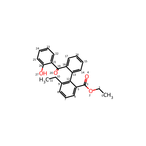 CCOC(=O)c1cccc(CC)c1-c1ccccc1C(=O)c1ccccc1O